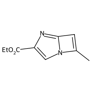 CCOC(=O)c1cn2c(n1)C=C2C